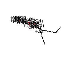 CCCCCCCC/C=C\CCCCCCCCCCCCCC(=O)N[C@@H](CO[C@@H]1OC(CO)[C@@H](O[C@@H]2OC(CO)[C@H](O)[C@H](O[C@@H]3OC(CO)[C@@H](O[C@@H]4OC(CO)[C@H](O)[C@H](O[C@@H]5OC(CO)[C@@H](O[C@@H]6OC(CO)[C@H](O)[C@H](O[C@]7(C(=O)O)CC(O)[C@@H](NC(C)=O)C([C@H](O)[C@H](O)CO)O7)C6O)[C@H](O)C5NC(C)=O)C4O)[C@H](O[C@H]4OC(C)[C@@H](O)C(O)[C@@H]4O)C3NC(C)=O)C2O)[C@H](O)C1O)[C@H](O)/C=C/CCCCCCCCCCCCC